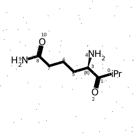 CC(C)C(=O)[C@H](N)CCCC(N)=O